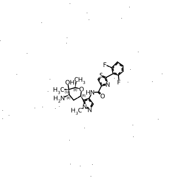 C[C@H]1O[C@@H](c2c(NC(=O)c3csc(-c4c(F)cccc4F)n3)cnn2C)C[C@@H](N)[C@]1(C)O